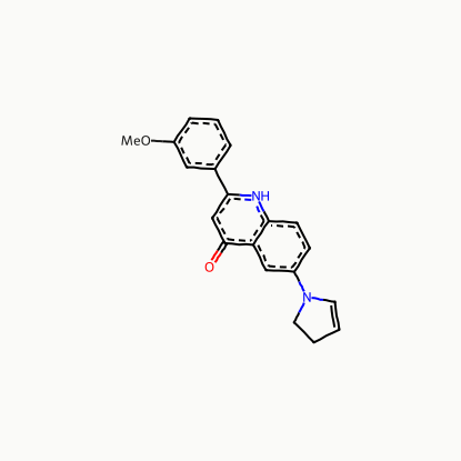 COc1cccc(-c2cc(=O)c3cc(N4C=CCC4)ccc3[nH]2)c1